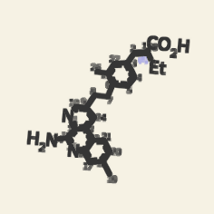 CC/C(=C\c1ccc(CCc2cnc3c(N)nc4cc(C)ccc4c3c2)c(C)c1)C(=O)O